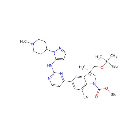 CN1CCC(n2nccc2Nc2nccc(-c3cc(C#N)c4c(c3)[C@@](C)(CO[Si](C)(C)C(C)(C)C)CN4C(=O)OC(C)(C)C)n2)CC1